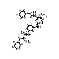 Bc1cnc(Nc2cccc(NC(=O)C(N)Cc3ccccc3)c2)nc1NCCc1ccccc1